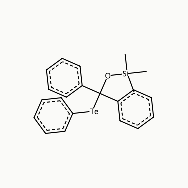 C[Si](C)(C)OC([Te]c1ccccc1)(c1ccccc1)c1ccccc1